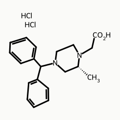 C[C@@H]1CN(C(c2ccccc2)c2ccccc2)CCN1CC(=O)O.Cl.Cl